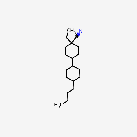 CCCCC1CCC(C2CCC(C#N)(CC)CC2)CC1